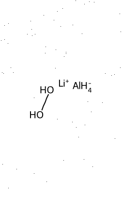 OO.[AlH4-].[Li+]